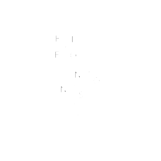 Cc1c(C(C)(C)C)s/c(=N\C(=O)c2ccccc2OC(F)(F)F)n1C